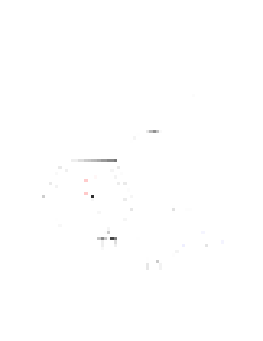 C=CCc1cc2cc(c1)C2=O.CC(=O)O.CC(C)N